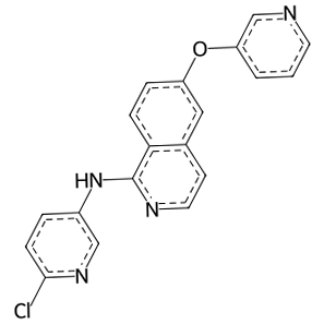 Clc1ccc(Nc2nccc3cc(Oc4cccnc4)ccc23)cn1